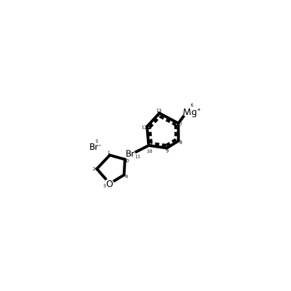 C1CCOC1.[Br-].[Mg+][c]1ccc(Br)cc1